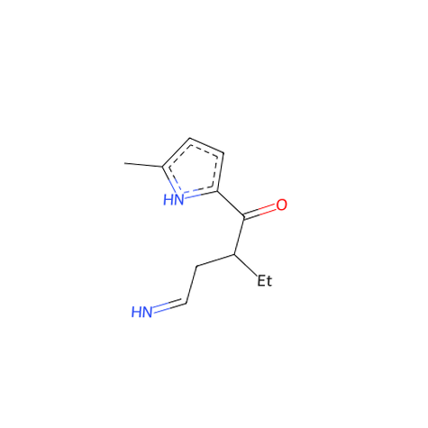 CCC(CC=N)C(=O)c1ccc(C)[nH]1